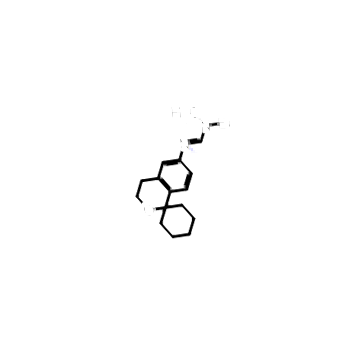 CCN(C)/C=N/c1ccc2c(c1)CCOC21CCCCC1